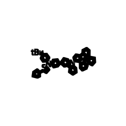 CC(C)(C)c1ccc(N(c2ccc(-c3ccc4c(c3)c3ccccc3n4-c3ccc4c(c3)C(c3ccccc3)(c3ccccc3)c3ccccc3-4)cc2)c2ccc(-c3ccccc3)s2)cc1